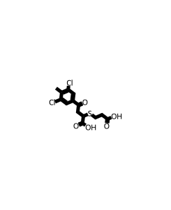 Cc1c(Cl)cc(C(=O)CC(SCCC(=O)O)C(=O)O)cc1Cl